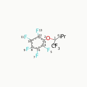 CC(C)C(Oc1c(F)c(F)c(F)c(F)c1F)C(F)(F)F